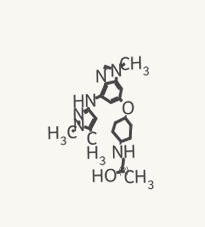 Cc1cc(Nc2cc(O[C@H]3CC[C@@H](NC[C@@H](C)O)CC3)cc3c2ncn3C)nn1C